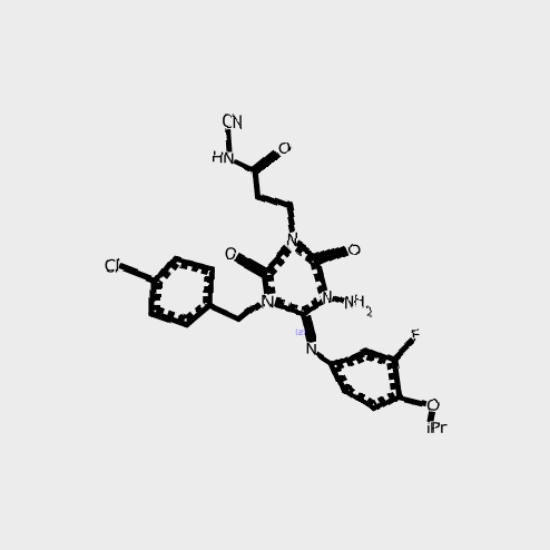 CC(C)Oc1ccc(/N=c2\n(N)c(=O)n(CCC(=O)NC#N)c(=O)n2Cc2ccc(Cl)cc2)cc1F